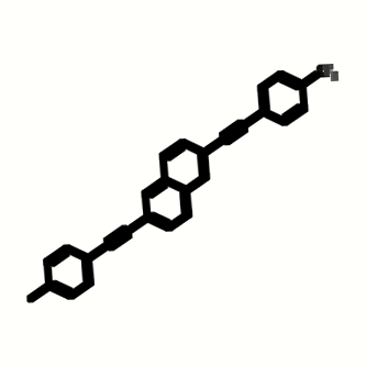 Cc1ccc(C#Cc2ccc3cc(C#Cc4ccc(C(F)(F)F)cc4)ccc3c2)cc1